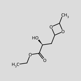 CCOC(=O)[C@@H](O)CC1OC(C)O1